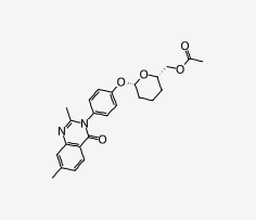 CC(=O)OC[C@@H]1CCC[C@H](Oc2ccc(-n3c(C)nc4cc(C)ccc4c3=O)cc2)O1